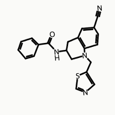 N#Cc1ccc2c(c1)CC(NC(=O)c1ccccc1)CN2Cc1cncs1